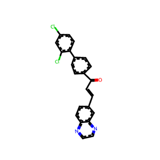 O=C(/C=C/c1ccc2nccnc2c1)c1ccc(-c2ccc(Cl)cc2Cl)cc1